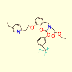 CCOC(=O)CN(Cc1cccc(OCCc2ccc(CC)cn2)c1)C(=O)Oc1cccc(C(F)(F)F)c1